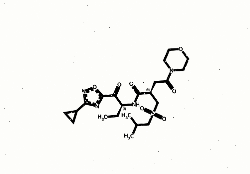 CC[C@H](NC(=O)[C@@H](CC(=O)N1CCOCC1)CS(=O)(=O)CC(C)C)C(=O)c1nc(C2CC2)no1